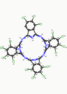 Clc1cc2c(c(Cl)c1Cl)-c1nc-2nc2[nH]c(nc3nc(nc4[nH]c(n1)c1c(Cl)c(Cl)c(Cl)c(Cl)c41)-c1c(Cl)c(Cl)c(Cl)c(Cl)c1-3)c1c(Cl)c(Cl)c(Cl)c(Br)c21